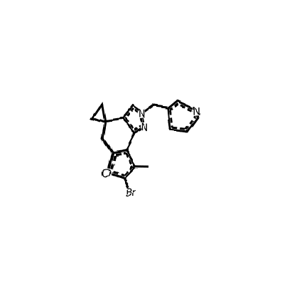 Cc1c(Br)oc2c1-c1nn(Cc3cccnc3)cc1C1(CC1)C2